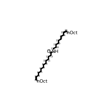 CCCCCCCC/C=C\CCCCCCCCCCCC(=O)NCCCCCCCC/C=C\CCCCCCCC